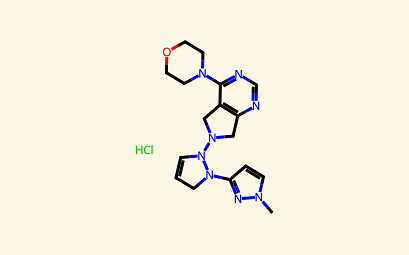 Cl.Cn1ccc(N2CC=CN2N2Cc3ncnc(N4CCOCC4)c3C2)n1